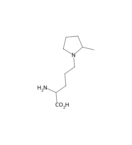 CC1CCCN1CCCC(N)C(=O)O